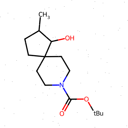 CC1CCC2(CCN(C(=O)OC(C)(C)C)CC2)C1O